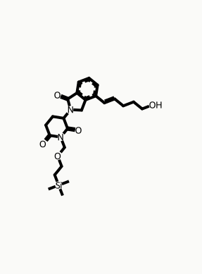 C[Si](C)(C)CCOCN1C(=O)CCC(N2Cc3c(/C=C/CCCO)cccc3C2=O)C1=O